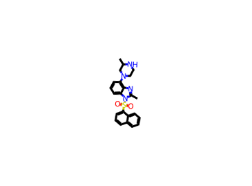 Cc1nc2c(N3CCNC(C)C3)cccc2n1S(=O)(=O)c1cccc2ccccc12